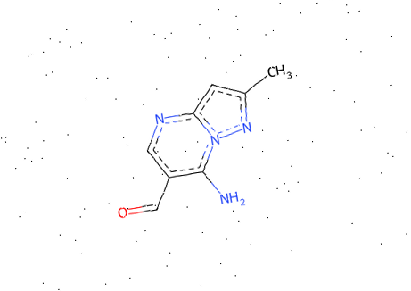 Cc1cc2ncc(C=O)c(N)n2n1